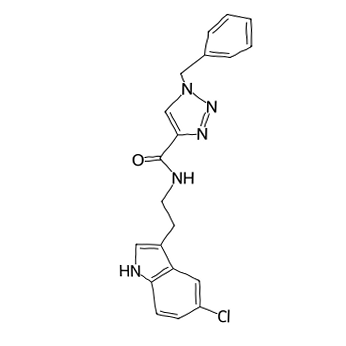 O=C(NCCc1c[nH]c2ccc(Cl)cc12)c1cn(Cc2ccccc2)nn1